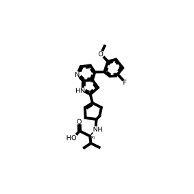 COc1ccc(F)cc1-c1ccnc2[nH]c(C3=CCC(N[C@@H](C(=O)O)C(C)C)CC3)cc12